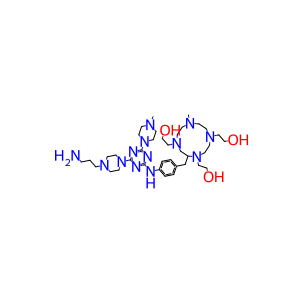 CN1CCN(CCO)CCN(CCO)C(Cc2ccc(Nc3nc(N4CCN(C)CC4)nc(N4CCN(CCCN)CC4)n3)cc2)CN(CCO)CC1